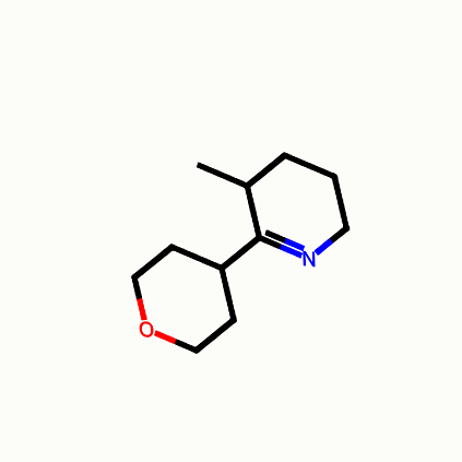 CC1CCCN=C1C1CCOCC1